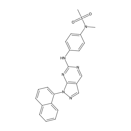 CN(c1ccc(Nc2ncc3cnn(-c4cccc5ccccc45)c3n2)cc1)S(C)(=O)=O